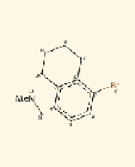 Brc1cccc2c1CCCC2.CNC